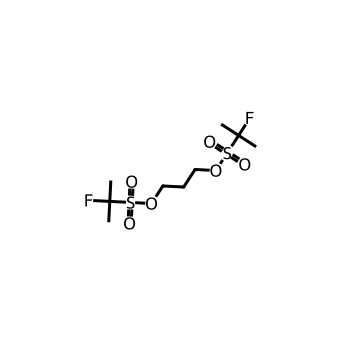 CC(C)(F)S(=O)(=O)OCCCOS(=O)(=O)C(C)(C)F